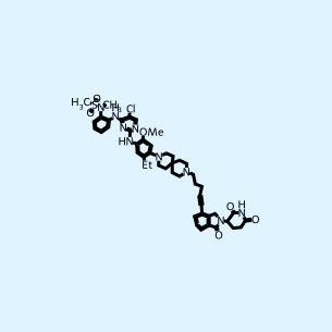 CCc1cc(Nc2ncc(Cl)c(Nc3ccccc3N(C)S(C)(=O)=O)n2)c(OC)cc1N1CCC2(CCN(CCCC#Cc3cccc4c3CN(C3CCC(=O)NC3=O)C4=O)CC2)CC1